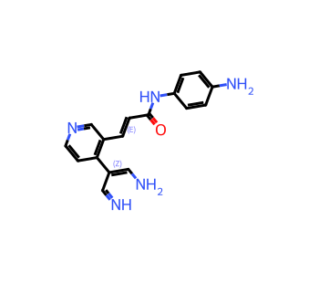 N=C/C(=C\N)c1ccncc1/C=C/C(=O)Nc1ccc(N)cc1